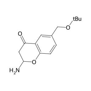 CC(C)(C)OCc1ccc2c(c1)C(=O)CC(N)O2